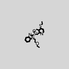 CCOCCn1c([S+]([O-])Cc2nccc(SCC)c2C)nc2ccccc21